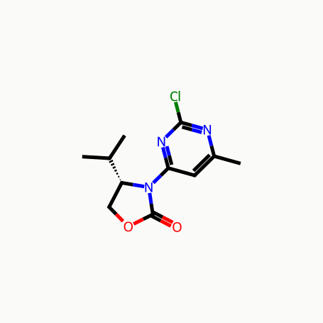 Cc1cc(N2C(=O)OC[C@@H]2C(C)C)nc(Cl)n1